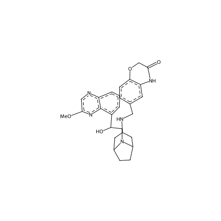 COc1cnc2cccc(C(O)CN3C4CCC3CC(NCc3ccc5c(c3)NC(=O)CO5)C4)c2n1